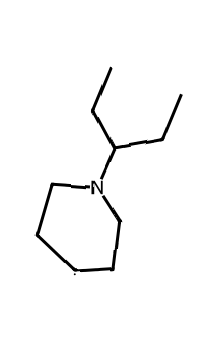 CCC(CC)N1CC[CH]CC1